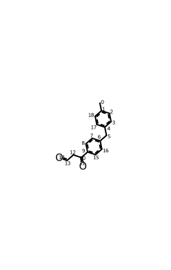 Cc1ccc(Cc2ccc(C(=O)CC=O)cc2)cc1